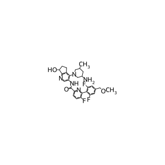 COCc1cc(F)c(-c2nc(C(=O)Nc3cnc4c(c3N3CC(C)CC(N)C3)CCC4O)ccc2F)c(F)c1